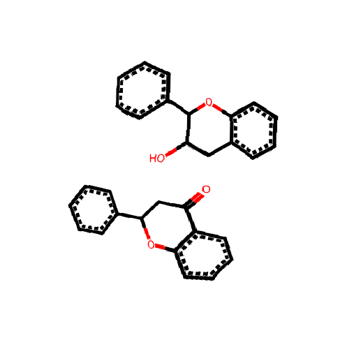 O=C1CC(c2ccccc2)Oc2ccccc21.OC1Cc2ccccc2OC1c1ccccc1